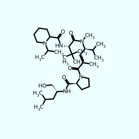 C/C(=C\[C@H](C(C)C)N(C)C(=O)[C@@H](NC(=O)C1CCCCN1C(C)C)C(C)(C)C)C(=O)N1CCC[C@H]1C(=O)N[C@@H](CO)CC(C)C